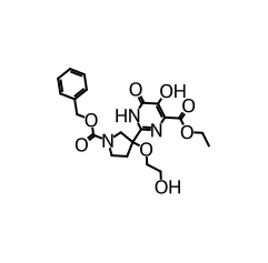 CCOC(=O)c1nc(C2(OCCO)CCN(C(=O)OCc3ccccc3)C2)[nH]c(=O)c1O